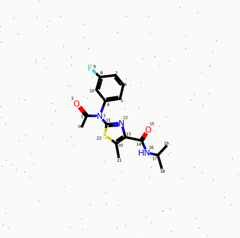 CC(=O)N(c1cccc(F)c1)c1nc(C(=O)NC(C)C)c(C)s1